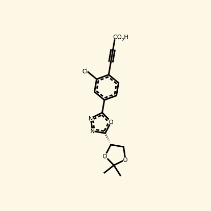 CC1(C)OC[C@@H](c2nnc(-c3ccc(C#CC(=O)O)c(Cl)c3)o2)O1